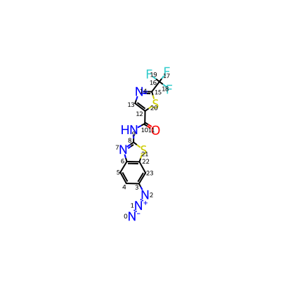 [N-]=[N+]=Nc1ccc2nc(NC(=O)c3cnc(C(F)(F)F)s3)sc2c1